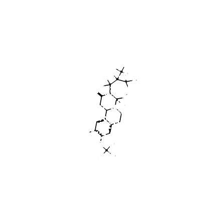 O=C1CC2c3cc(O)c(OC(O)(O)O)cc3CCN2C2(O)OOC(O)(O)C(O)(C(O)(O)O)C(O)(O)C12